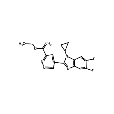 C=C(OCC)c1cc(-c2nc3cc(F)c(F)cc3n2C2CC2)cnn1